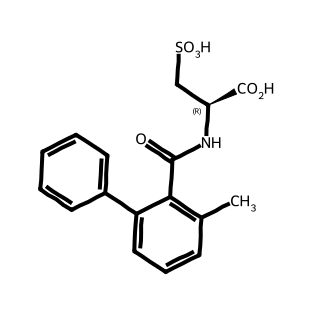 Cc1cccc(-c2ccccc2)c1C(=O)N[C@@H](CS(=O)(=O)O)C(=O)O